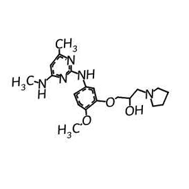 CNc1cc(C)nc(Nc2ccc(OC)c(OCC(O)CN3CCCC3)c2)n1